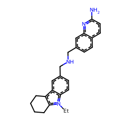 CCn1c2c(c3cc(CNCc4ccc5ccc(N)nc5c4)ccc31)CCCC2